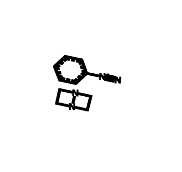 C1CN2CCN12.N#[N+]c1ccccc1